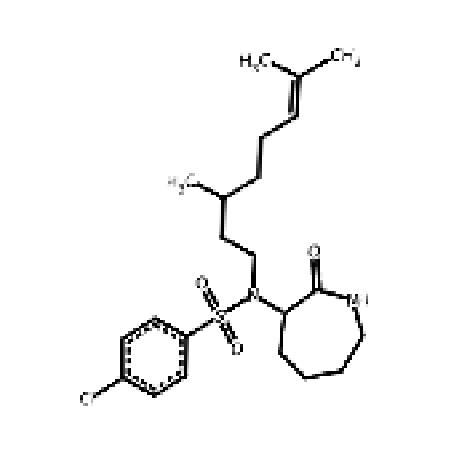 CC(C)=CCCC(C)CCN(C1CCCCNC1=O)S(=O)(=O)c1ccc(Cl)cc1